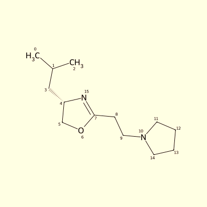 CC(C)C[C@H]1COC(CCN2CCCC2)=N1